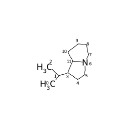 CC(C)C1CCN2CCCCC12